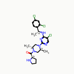 C[C@@H]1CN(c2ncc(Cl)c(N[C@H](C)c3ccc(Cl)cc3Cl)n2)[C@@H](C)CN1C(=O)[C@H]1CCCN1